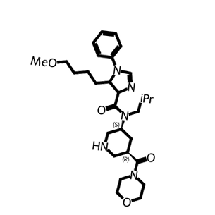 COCCCCC1C(C(=O)N(CC(C)C)[C@@H]2CNC[C@H](C(=O)N3CCOCC3)C2)N=CN1c1ccccc1